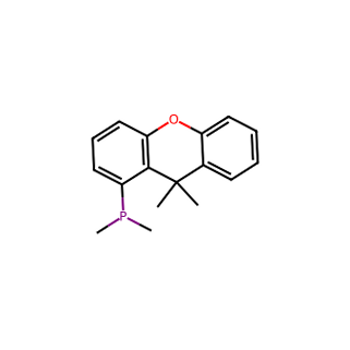 CP(C)c1cccc2c1C(C)(C)c1ccccc1O2